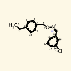 CCc1ccc(CO/N=[C]\c2cccc(Cl)c2)cc1